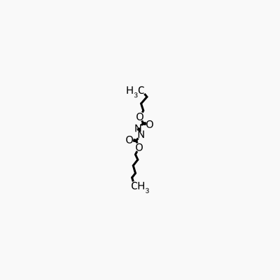 CCCCCCOC(=O)N=NC(=O)OCCCC